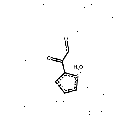 O.O=CC(=O)c1cccs1